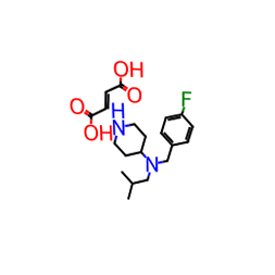 CC(C)CN(Cc1ccc(F)cc1)C1CCNCC1.O=C(O)C=CC(=O)O